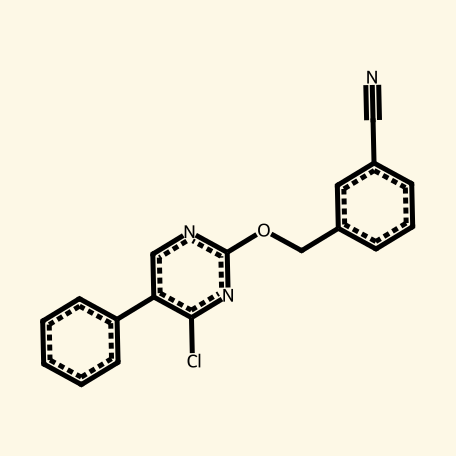 N#Cc1cccc(COc2ncc(-c3ccccc3)c(Cl)n2)c1